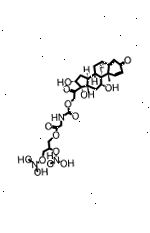 C[C@]12C=CC(=O)C=C1CC[C@H]1[C@@H]3C[C@@H](O)[C@](O)(C(=O)COC(=O)NCC(=O)OCC(CON(O)O)ON(O)O)[C@@]3(C)C[C@H](O)[C@@]12F